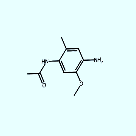 COc1cc(NC(C)=O)c(C)cc1N